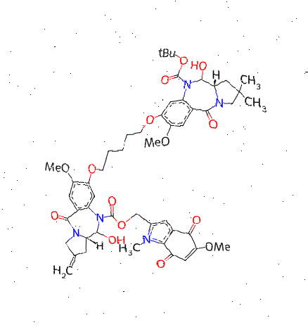 C=C1C[C@H]2C(O)N(C(=O)OCc3cc4c(n3C)C(=O)C=C(OC)C4=O)c3cc(OCCCCCOc4cc5c(cc4OC)C(=O)N4CC(C)(C)C[C@H]4C(O)N5C(=O)OC(C)(C)C)c(OC)cc3C(=O)N2C1